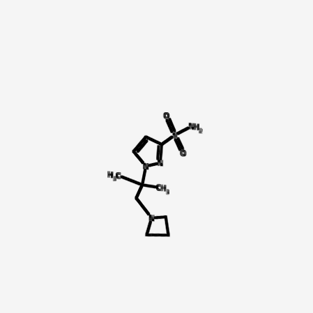 CC(C)(CN1CCC1)n1ccc(S(N)(=O)=O)n1